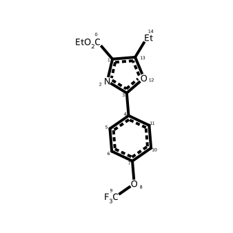 CCOC(=O)c1nc(-c2ccc(OC(F)(F)F)cc2)oc1CC